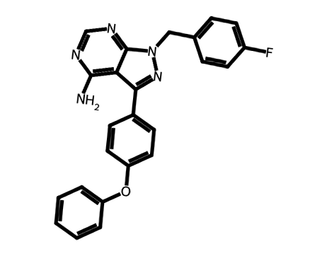 Nc1ncnc2c1c(-c1ccc(Oc3ccccc3)cc1)nn2Cc1ccc(F)cc1